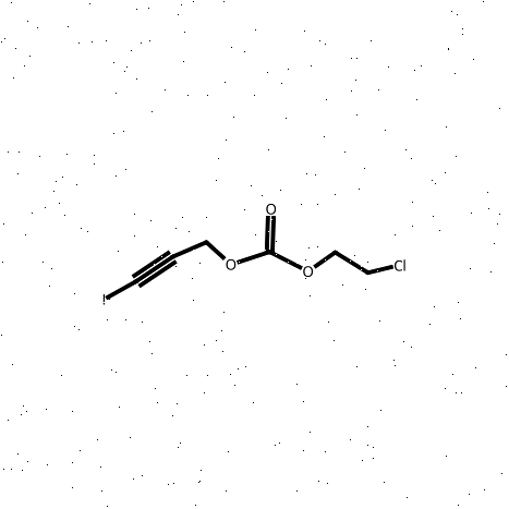 O=C(OCC#CI)OCCCl